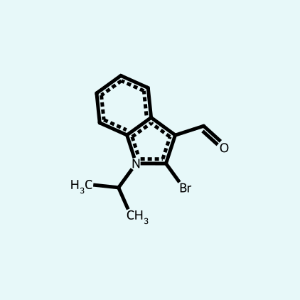 CC(C)n1c(Br)c(C=O)c2ccccc21